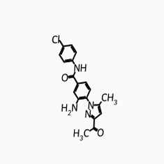 CC(=O)c1cc(C)n(-c2ccc(C(=O)Nc3ccc(Cl)cc3)cc2N)n1